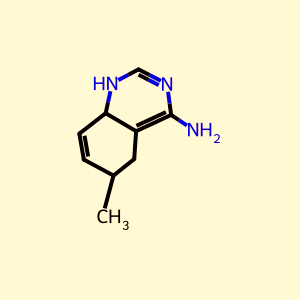 CC1C=CC2NC=NC(N)=C2C1